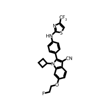 N#Cc1c(-c2ccc(Nc3nc(C(F)(F)F)cs3)cc2)n(C2CCC2)c2cc(OCCF)ccc12